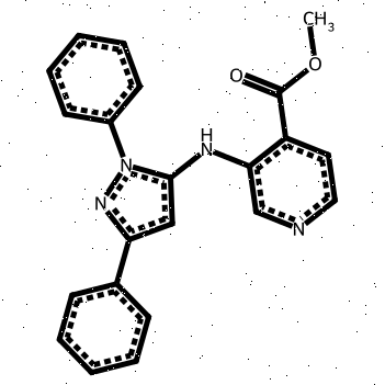 COC(=O)c1ccncc1Nc1cc(-c2ccccc2)nn1-c1ccccc1